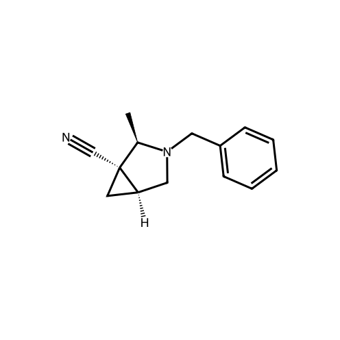 C[C@H]1N(Cc2ccccc2)C[C@H]2C[C@]21C#N